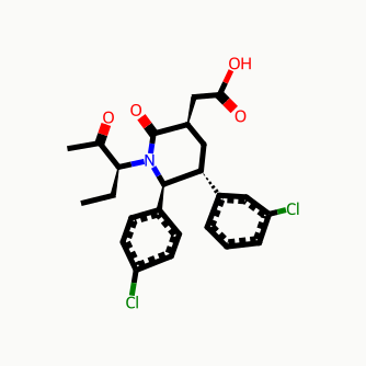 CC[C@@H](C(C)=O)N1C(=O)[C@@H](CC(=O)O)C[C@H](c2cccc(Cl)c2)[C@H]1c1ccc(Cl)cc1